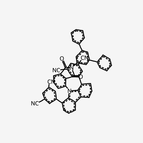 N#Cc1cc(C#N)cc(-c2cccc3c4cccc(-c5cc(C#N)cc(C#N)c5)c4n(-c4cccc5c4C(=O)N(c4cc(-c6ccccc6)cc(-c6ccccc6)c4)C5=O)c23)c1